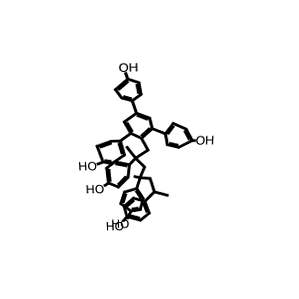 CC(CC(C)(CC(C)(Cc1c(-c2ccc(O)cc2)cc(-c2ccc(O)cc2)cc1-c1ccc(O)cc1)c1ccc(O)cc1)c1ccc(O)cc1)c1ccc(O)cc1